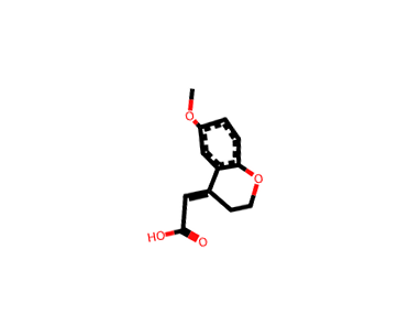 COc1ccc2c(c1)C(=CC(=O)O)CCO2